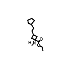 CCOC(=O)C1(N)CC(CCC2CCCC2)C1